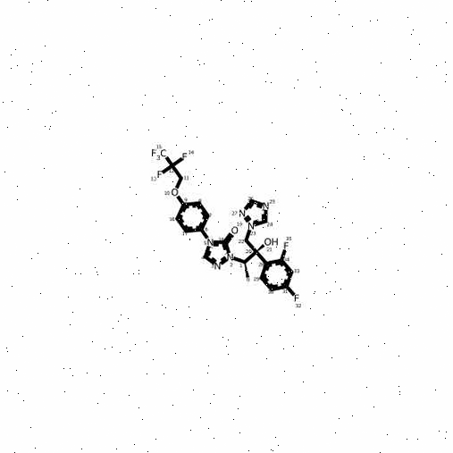 C[C@@H](n1ncn(-c2ccc(OCC(F)(F)C(F)(F)F)cc2)c1=O)[C@](O)(Cn1cncn1)c1ccc(F)cc1F